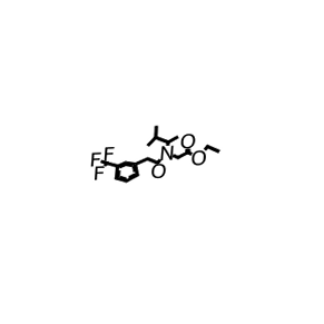 CCOC(=O)CN(C(=O)Cc1cccc(C(F)(F)F)c1)C(C)C(C)C